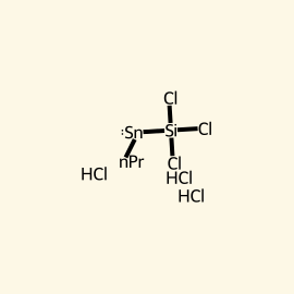 CC[CH2][Sn][Si](Cl)(Cl)Cl.Cl.Cl.Cl